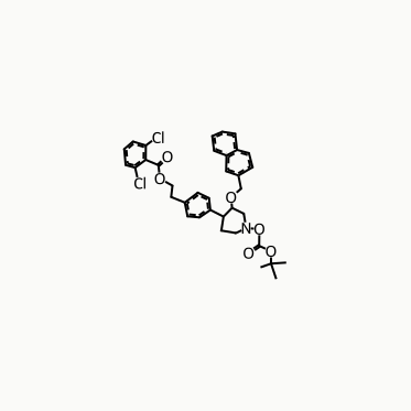 CC(C)(C)OC(=O)ON1CCC(c2ccc(CCOC(=O)c3c(Cl)cccc3Cl)cc2)C(OCc2ccc3ccccc3c2)C1